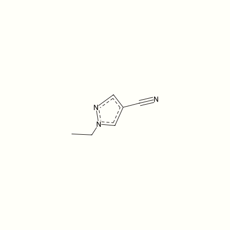 CCn1cc(C#N)cn1